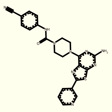 N#Cc1ccc(NC(=O)N2CCN(c3nc(N)nc4sc(-c5cccnc5)nc34)CC2)cc1